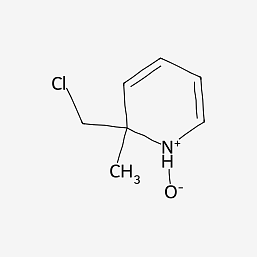 CC1(CCl)C=CC=C[NH+]1[O-]